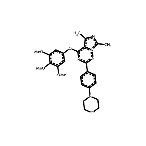 COc1cc(Oc2nc(-c3ccc(N4CCOCC4)cc3)nn3c(C)nc(C)c23)cc(OC)c1OC